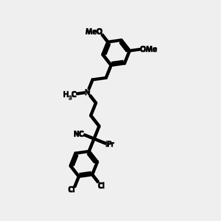 COc1cc(CCN(C)CCCC(C#N)(c2ccc(Cl)c(Cl)c2)C(C)C)cc(OC)c1